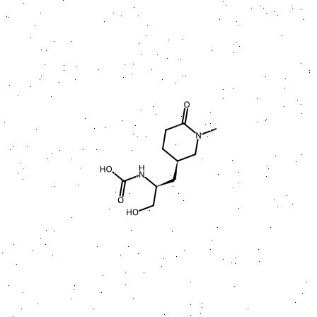 CN1C[C@@H](C[C@@H](CO)NC(=O)O)CCC1=O